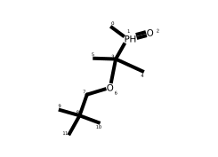 C[PH](=O)C(C)(C)OCC(C)(C)C